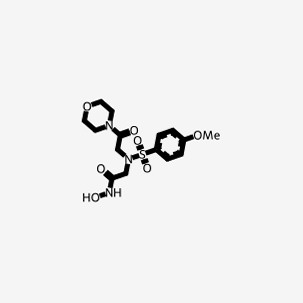 COc1ccc(S(=O)(=O)N(CC(=O)NO)CC(=O)N2CCOCC2)cc1